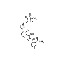 CC(C)(C)C(=O)OCn1ccc(N2CCO[C@H]([C@@H](O)C(=O)Nc3ccc(I)cc3C(N)=O)C2=O)n1